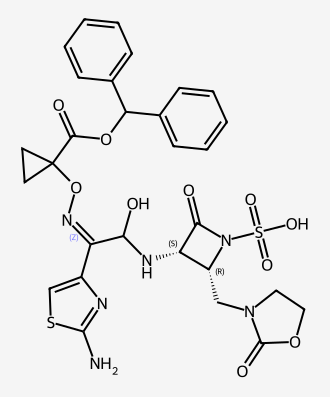 Nc1nc(/C(=N/OC2(C(=O)OC(c3ccccc3)c3ccccc3)CC2)C(O)N[C@@H]2C(=O)N(S(=O)(=O)O)[C@@H]2CN2CCOC2=O)cs1